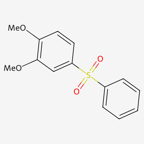 COc1ccc(S(=O)(=O)c2ccccc2)cc1OC